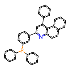 c1ccc(-c2cc(-c3cccc(P(c4ccccc4)c4ccccc4)c3)nc3ccc4ccccc4c23)cc1